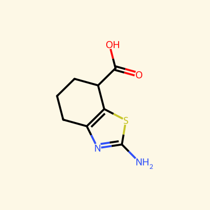 Nc1nc2c(s1)C(C(=O)O)CCC2